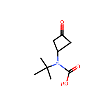 CC(C)(C)N(C(=O)O)C1CC(=O)C1